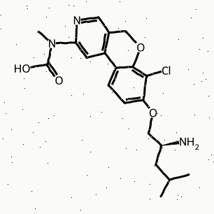 CC(C)C[C@H](N)COc1ccc2c(c1Cl)OCc1cnc(N(C)C(=O)O)cc1-2